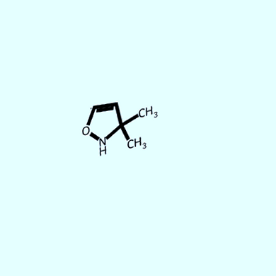 CC1(C)C=[C]ON1